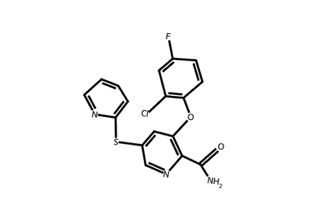 NC(=O)c1ncc(Sc2ccccn2)cc1Oc1ccc(F)cc1Cl